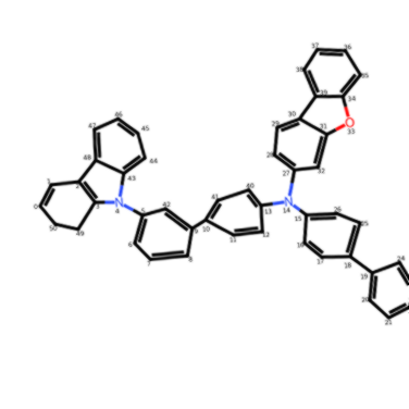 C1=Cc2c(n(-c3cccc(-c4ccc(N(c5ccc(-c6ccccc6)cc5)c5ccc6c(c5)oc5ccccc56)cc4)c3)c3ccccc23)CC1